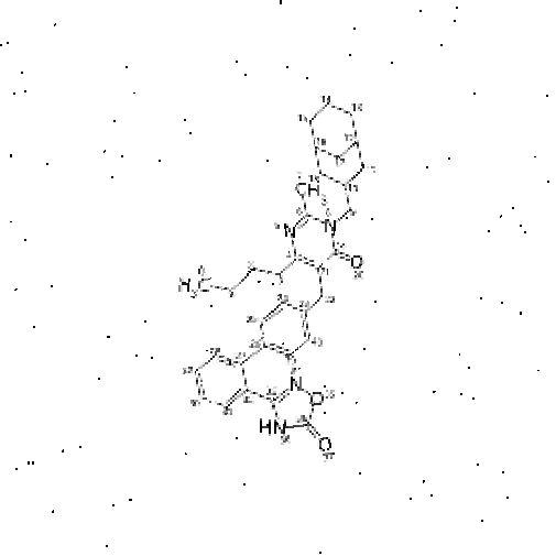 CCCCc1nc(C)n(CC2CC3CCCC(C3)C2)c(=O)c1Cc1ccc(-c2ccccc2-c2noc(=O)[nH]2)cc1